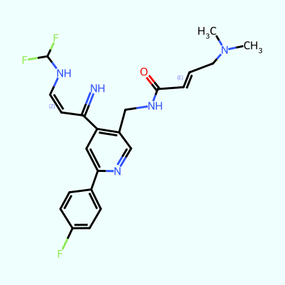 CN(C)C/C=C/C(=O)NCc1cnc(-c2ccc(F)cc2)cc1C(=N)/C=C\NC(F)F